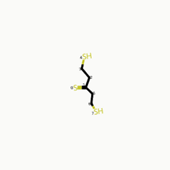 S=C(CCS)CCS